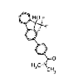 CN(C)C(=O)c1ccc(-c2ccc3c(c2)C(O)(C(F)(F)F)c2ccccc2-3)cc1